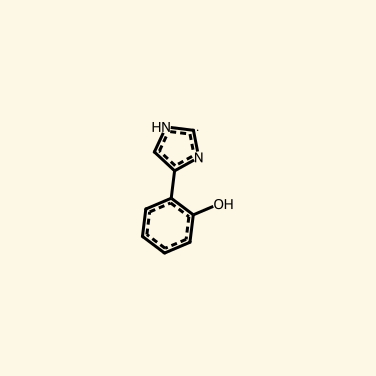 Oc1ccccc1-c1c[nH][c]n1